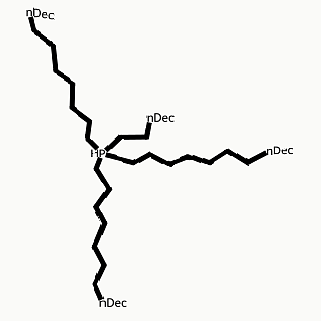 CCCCCCCCCCCCCCCCC[PH](CCCCCCCCCCCC)(CCCCCCCCCCCCCCCCC)CCCCCCCCCCCCCCCCC